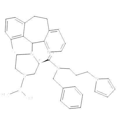 CB(O)N1CCN(C2c3ncccc3CCc3cccc(Cl)c32)[C@@H](C(=O)N(CCCn2cccc2)Cc2ccccc2)C1